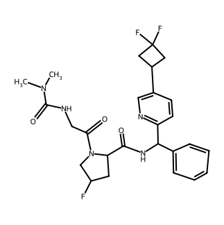 CN(C)C(=O)NCC(=O)N1CC(F)CC1C(=O)NC(c1ccccc1)c1ccc(C2CC(F)(F)C2)cn1